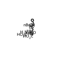 CCCCOC(=O)C(CSCC(NC(=O)CCC(N)C(=O)O)C(=O)NCC(=O)O)=NOCc1ccccc1